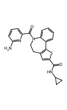 Nc1cccc(C(=O)N2CCc3cc(C(=O)NC4CC4)sc3-c3ccccc32)n1